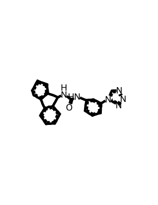 O=C(Nc1cccc(-n2cnnn2)c1)NC1c2ccccc2-c2ccccc21